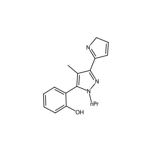 CCCn1nc(C2=NCC=C2)c(C)c1-c1ccccc1O